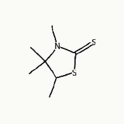 CC1SC(=S)N(C)C1(C)C